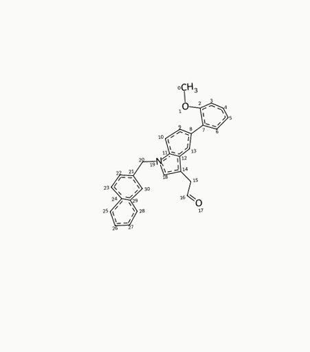 COc1ccccc1-c1ccc2c(c1)c(CC=O)cn2Cc1ccc2ccccc2c1